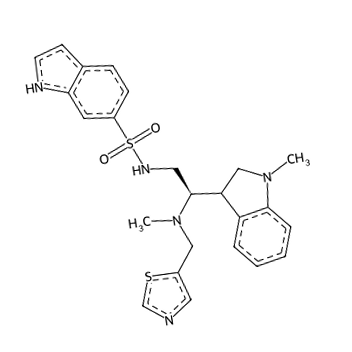 CN1CC([C@H](CNS(=O)(=O)c2ccc3cc[nH]c3c2)N(C)Cc2cncs2)c2ccccc21